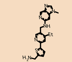 CCc1cc(-c2ccc(CN)s2)ncc1CNc1cc2c(cn1)ncn2C